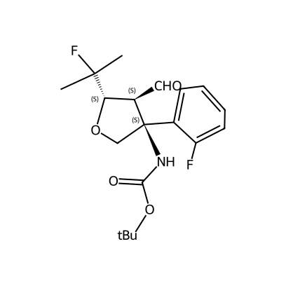 CC(C)(C)OC(=O)N[C@@]1(c2ccccc2F)CO[C@H](C(C)(C)F)[C@H]1C=O